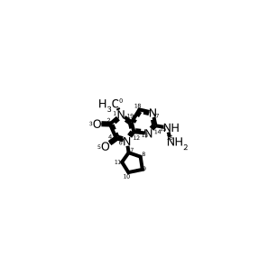 Cn1c(=O)c(=O)n(C2CCCC2)c2nc(NN)ncc21